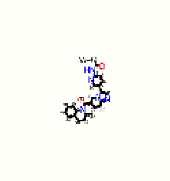 COC(=O)Nc1ccc(-c2cnc3ccc(C(=O)N4c5ccccc5CCC4C)cn23)cn1